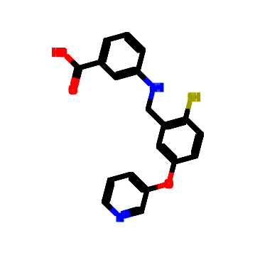 O=C(O)c1cccc(NCc2cc(Oc3cccnc3)ccc2S)c1